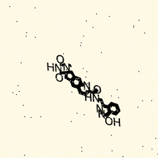 CN1C(=O)NC(=O)C12Cc1cc3ccc(C(=O)NCc4nnc(O)c5ccccc45)nc3cc1C2